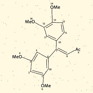 COc1cc(OC)cc(/C(=C/C(C)=O)c2ccc(OC)c(OC)c2)c1